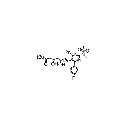 CC(C)c1nc(N(C)S(C)(=O)=O)nc(-c2ccc(F)cc2)c1/C=C/C(O)CC(O)CC(=O)C(C)(C)C